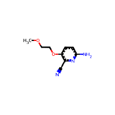 COCCOc1ccc(N)nc1C#N